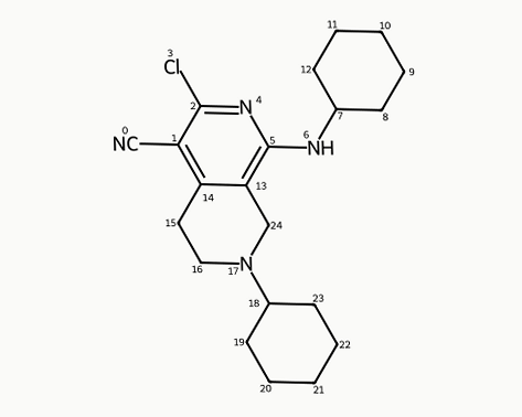 N#Cc1c(Cl)nc(NC2CCCCC2)c2c1CCN(C1CCCCC1)C2